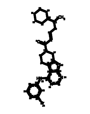 CN(CC=CC(=O)N1CCc2c(sc3ncnc(Nc4cccc(Br)c4)c23)C1)C1CCCCC1